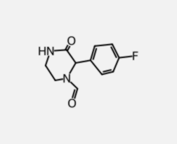 O=CN1CCNC(=O)C1c1ccc(F)cc1